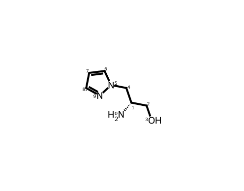 N[C@@H](CO)Cn1cc[c]n1